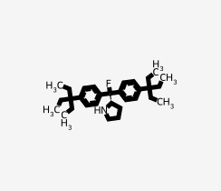 CCC(CC)(CC)c1ccc(C(F)(c2ccc(C(CC)(CC)CC)cc2)[C@@H]2CCCN2)cc1